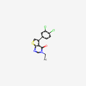 CC(=O)Cn1cnc2scc(-c3ccc(Cl)c(Cl)c3)c2c1=O